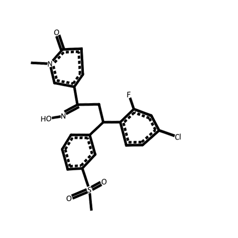 Cn1cc(C(CC(c2cccc(S(C)(=O)=O)c2)c2ccc(Cl)cc2F)=NO)ccc1=O